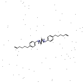 C=CCCCCc1ccc(/C=N/N=C/c2ccc(CCCCC=C)cc2)cc1